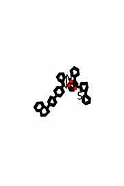 c1ccc(-n2c3ccccc3c3ccccc32)c(N(c2ccc(-c3ccc(-c4cccc5ccccc45)cc3)cc2)c2ccc(-c3cccc4c3sc3ccccc34)cc2)c1